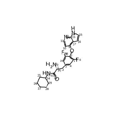 N[C@H](Cc1cc(F)c(Oc2ccnc3[nH]ccc23)c(F)c1)C(=O)NC1CCCCC1